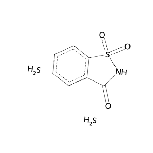 O=C1NS(=O)(=O)c2ccccc21.S.S